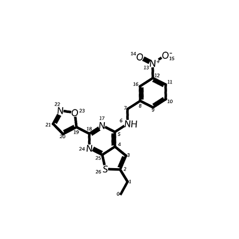 CCc1cc2c(NCc3cccc([N+](=O)[O-])c3)nc(-c3ccno3)nc2s1